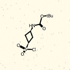 CC(C)(C)OC(=O)N[C@H]1C[C@@H](S(=O)(=O)Cl)C1